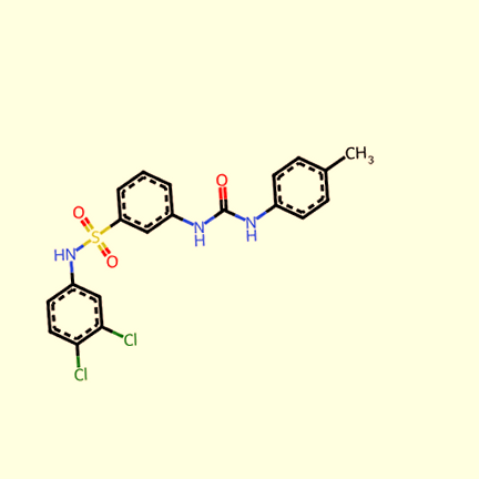 Cc1ccc(NC(=O)Nc2cccc(S(=O)(=O)Nc3ccc(Cl)c(Cl)c3)c2)cc1